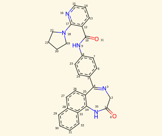 O=C1CN=C(c2ccc(NC(=O)c3cccnc3N3CCCC3)cc2)c2ccc3ccccc3c2N1